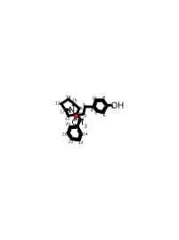 CC(CCc1ccc(O)cc1)N1C2CCC1CC(Cc1ccccc1)C2